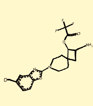 NC1CC2(CCN(c3nc4cc(Cl)ccc4o3)CC2)C1OC(=O)C(F)(F)F